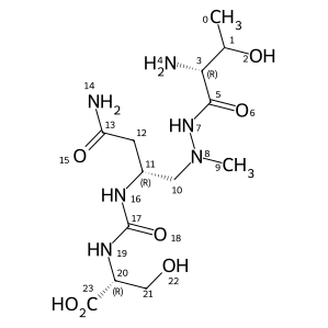 CC(O)[C@@H](N)C(=O)NN(C)C[C@@H](CC(N)=O)NC(=O)N[C@H](CO)C(=O)O